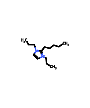 CCCCCc1n(CCC)cc[n+]1CCC